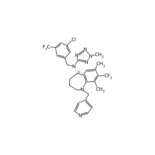 Cc1cc2c(c(C)c1C(F)(F)F)N(Cc1ccncc1)CCC[C@@H]2N(Cc1cc(Cl)cc(C(F)(F)F)c1)c1nnn(C)n1